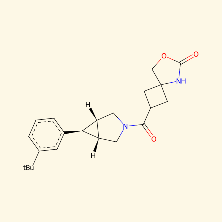 CC(C)(C)c1cccc([C@H]2[C@@H]3CN(C(=O)C4CC5(COC(=O)N5)C4)C[C@@H]32)c1